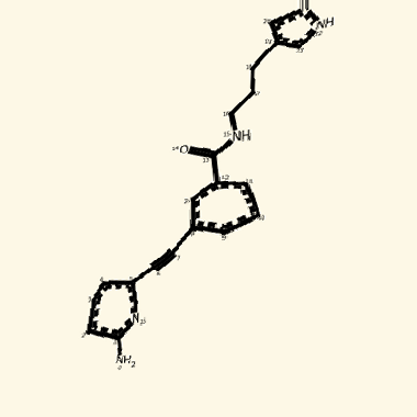 Nc1cccc(C#Cc2cccc(C(=O)NCCCc3cn[nH]c3)c2)n1